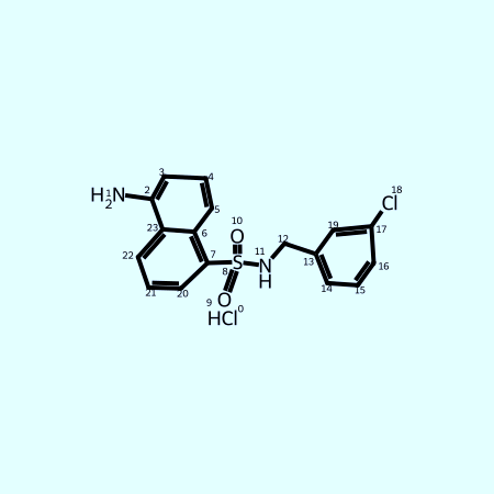 Cl.Nc1cccc2c(S(=O)(=O)NCc3cccc(Cl)c3)cccc12